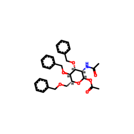 CC(=O)N[C@@H]1[C@@H](OC(C)=O)O[C@H](COCc2ccccc2)[C@@H](OCc2ccccc2)[C@@H]1OCc1ccccc1